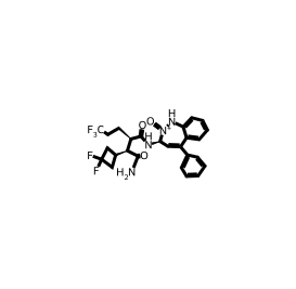 NC(=O)[C@@H](C1CC(F)(F)C1)[C@@H](CCC(F)(F)F)C(=O)N[C@@H]1C=C(c2ccccc2)c2ccccc2N[N+]1=O